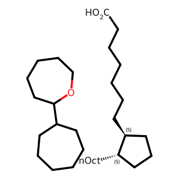 C1CCCC(C2CCCCCO2)CC1.CCCCCCCC[C@H]1CCC[C@@H]1CCCCCCC(=O)O